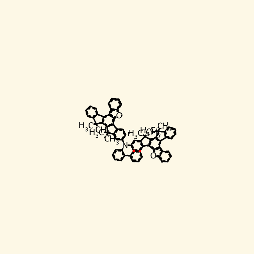 CC1(C)c2cc(N(c3ccc4c(c3)C(C)(C)c3c5c(c6c(oc7ccccc76)c3-4)-c3ccccc3C5(C)C)c3ccccc3-c3ccccc3)ccc2-c2c1c1c(c3c2oc2ccccc23)-c2ccccc2C1(C)C